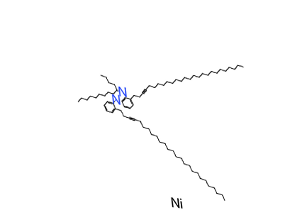 CCCCCCCCCCCCCCCCCCCCCCC#CCCc1ccccc1N=C(CCCC)C(CCCCCCCC)=Nc1ccccc1CCC#CCCCCCCCCCCCCCCCCCCCCCC.[Ni]